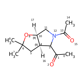 CC(=O)C1[C@H]2CC(C)(C)O[C@H]2CN1C(C)=O